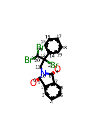 O=C1c2ccccc2C(=O)N1CC(Br)(c1ccccc1)C(Br)Br